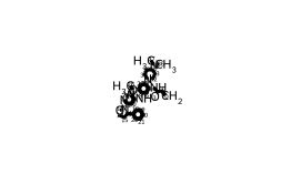 C=CC(=O)Nc1cc(Nc2cc(N3OCCC3c3ccccc3)ncn2)c(OC)cc1N1CCC(N(C)C)CC1